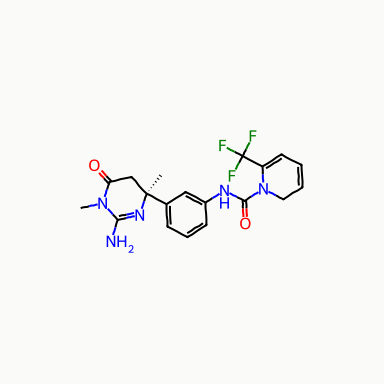 CN1C(=O)C[C@@](C)(c2cccc(NC(=O)N3CC=CC=C3C(F)(F)F)c2)N=C1N